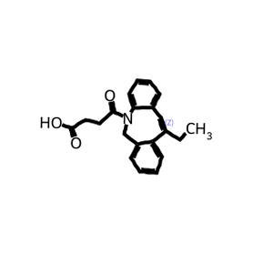 CC/C1=C/c2ccccc2N(C(=O)CCC(=O)O)Cc2ccccc21